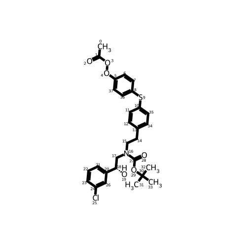 CC(=O)OOc1ccc(Sc2ccc(CCN(C[C@H](O)c3cccc(Cl)c3)C(=O)OC(C)(C)C)cc2)cc1